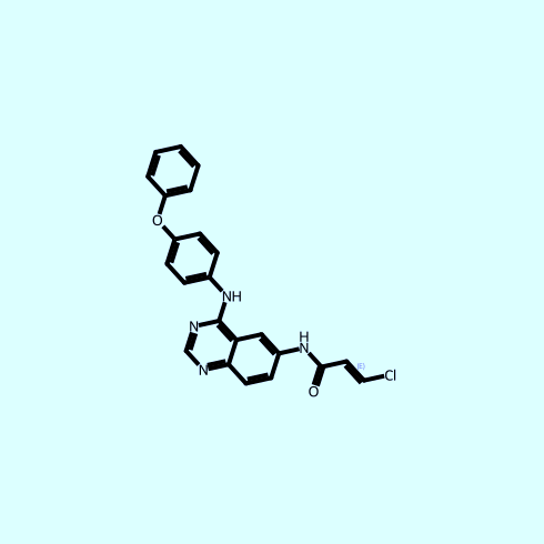 O=C(/C=C/Cl)Nc1ccc2ncnc(Nc3ccc(Oc4ccccc4)cc3)c2c1